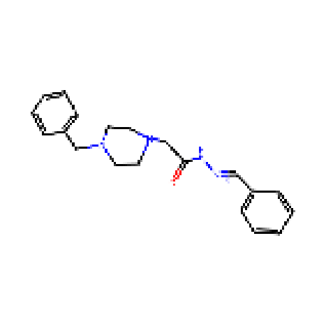 O=C(CN1CCN(Cc2ccccc2)CC1)N/N=C/c1ccccc1